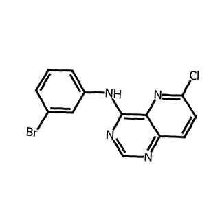 Clc1ccc2ncnc(Nc3cccc(Br)c3)c2n1